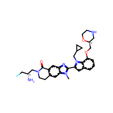 Cn1c(-c2cc3cccc(OC[C@@H]4CNCCO4)c3n2CC2CC2)nc2cc3c(cc21)CCN(C[C@H](N)CF)C3=O